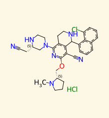 CN1CCC[C@H]1COc1nc(N2CCN[C@@H](CC#N)C2)c2c(c1C#N)C(c1cccc3cccc(Cl)c13)NCC2.Cl